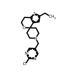 CCc1cc2c(s1)CCOC21CCN(Cc2cnc(Cl)nc2)CC1